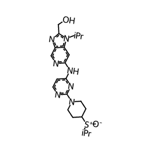 CC(C)n1c(CO)nc2cnc(Nc3ccnc(N4CCC([S+]([O-])C(C)C)CC4)n3)cc21